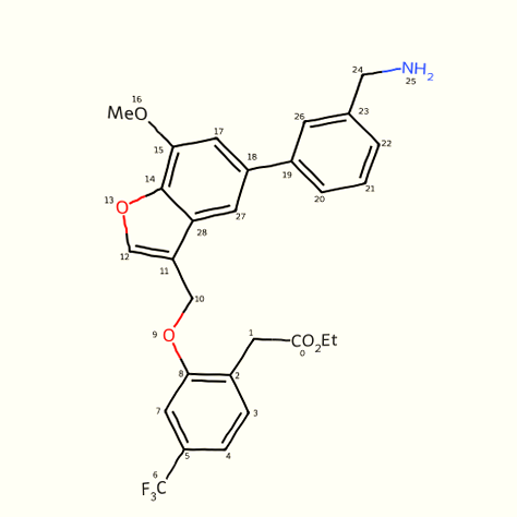 CCOC(=O)Cc1ccc(C(F)(F)F)cc1OCc1coc2c(OC)cc(-c3cccc(CN)c3)cc12